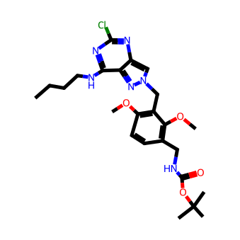 CCCCNc1nc(Cl)nc2cn(Cc3c(OC)ccc(CNC(=O)OC(C)(C)C)c3OC)nc12